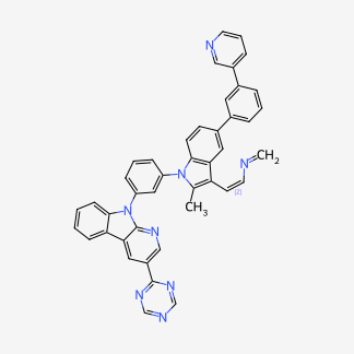 C=N/C=C\c1c(C)n(-c2cccc(-n3c4ccccc4c4cc(-c5ncncn5)cnc43)c2)c2ccc(-c3cccc(-c4cccnc4)c3)cc12